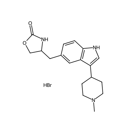 Br.CN1CCC(c2c[nH]c3ccc(CC4COC(=O)N4)cc23)CC1